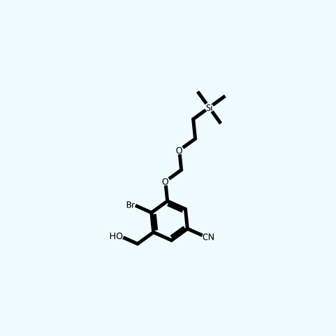 C[Si](C)(C)CCOCOc1cc(C#N)cc(CO)c1Br